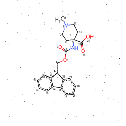 CN1CCC(NC(=O)OCC2c3ccccc3-c3ccccc32)(C(=O)O)CC1